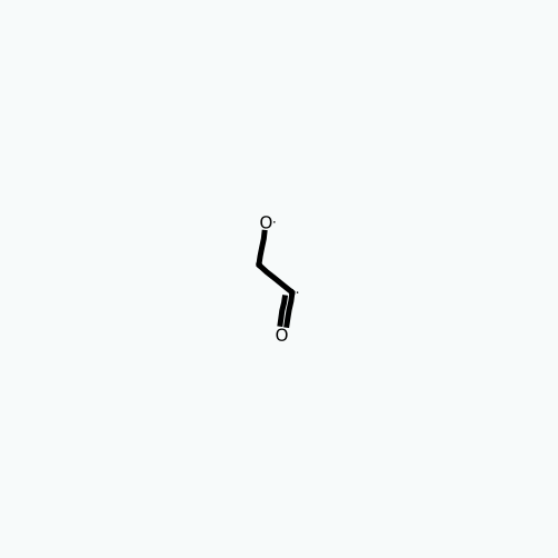 [O]C[C]=O